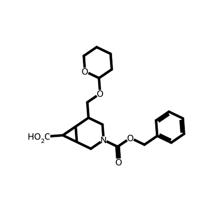 O=C(O)C1C2CN(C(=O)OCc3ccccc3)CC(COC3CCCCO3)C21